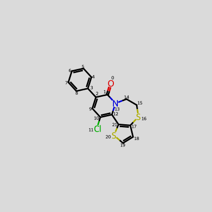 O=c1c(-c2ccccc2)cc(Cl)c2n1CCSc1ccsc1-2